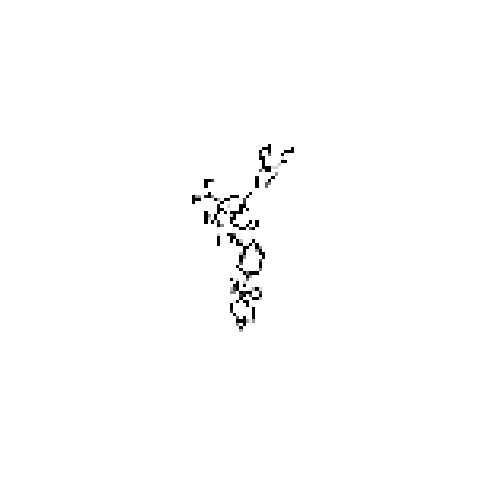 CN1CCN(S(=O)(=O)c2cccc(NC(=O)c3cnn4c(C(F)F)cc(-c5ccc(Cl)c(Cl)c5)nc34)c2)CC1